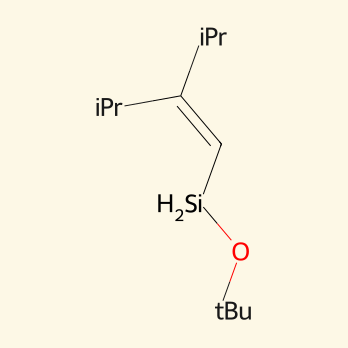 CC(C)C(=C[SiH2]OC(C)(C)C)C(C)C